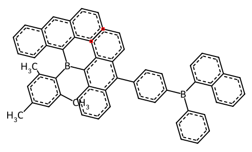 Cc1cc(C)c(B(c2c3ccccc3cc3ccccc23)c2c3ccccc3c(-c3ccc(B(c4ccccc4)c4cccc5ccccc45)cc3)c3ccccc23)c(C)c1